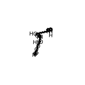 [N-]=[N+]=NCCOCCOCCNC(=O)CCc1ncc(C(CCCCCCc2ccc3c(n2)NCCC3)CC(=O)O)cn1